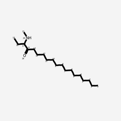 CCCCCCCCCCCCCCCC(=O)C(CC)NC